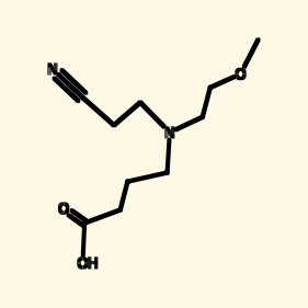 COCCN(CCC#N)CCCC(=O)O